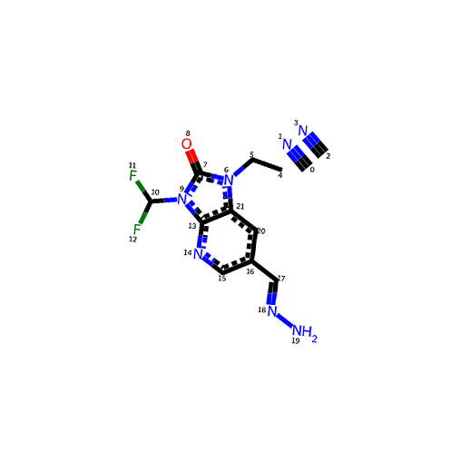 C#N.C#N.CCn1c(=O)n(C(F)F)c2ncc(C=NN)cc21